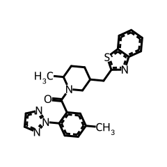 Cc1ccc(-n2nccn2)c(C(=O)N2CC(Cc3nc4ccccc4s3)CCC2C)c1